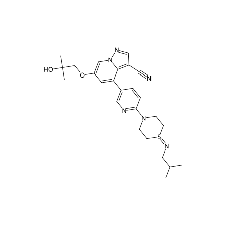 CC(C)CN=S1CCN(c2ccc(-c3cc(OCC(C)(C)O)cn4ncc(C#N)c34)cn2)CC1